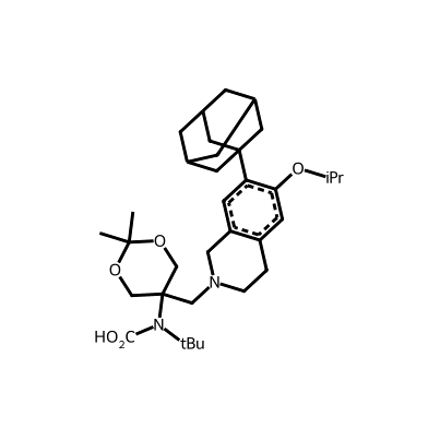 CC(C)Oc1cc2c(cc1C13CC4CC(CC(C4)C1)C3)CN(CC1(N(C(=O)O)C(C)(C)C)COC(C)(C)OC1)CC2